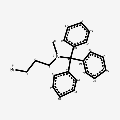 CN(CCCBr)C(c1ccccc1)(c1ccccc1)c1ccccc1